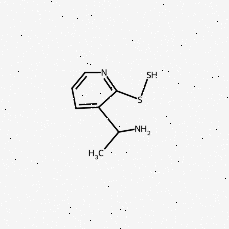 CC(N)c1cccnc1SS